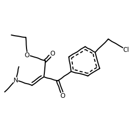 CCOC(=O)C(=CN(C)C)C(=O)c1ccc(CCl)cc1